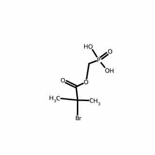 CC(C)(Br)C(=O)OCP(=O)(O)O